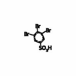 O=S(=O)(O)c1cc(Br)c(Br)c(Br)c1